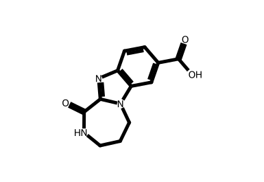 O=C(O)c1ccc2nc3n(c2c1)CCCNC3=O